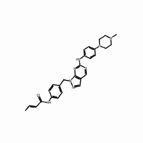 CC=CC(=O)Nc1ccc(Cn2ncc3cnc(Nc4ccc(N5CCN(C)CC5)cc4)nc32)cc1